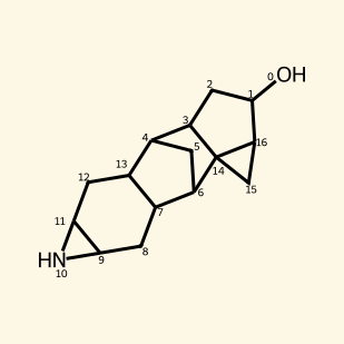 OC1CC2C3CC(C4CC5NC5CC34)C23CC13